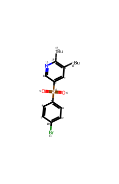 CC(C)(C)c1cc(S(=O)(=O)c2ccc(Br)cc2)cnc1C(C)(C)C